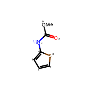 COC(=O)Nc1cccs1